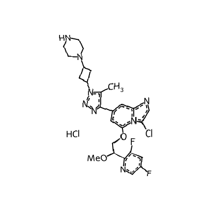 COC(COc1cc(-c2nnn(C3CC(N4CCNCC4)C3)c2C)cc2ncc(Cl)n12)c1ncc(F)cc1F.Cl